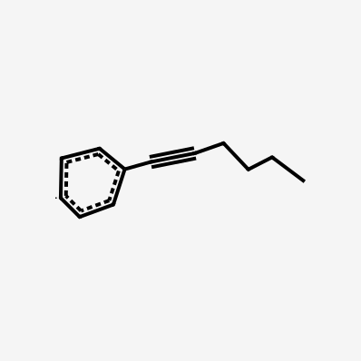 CCCCC#Cc1cc[c]cc1